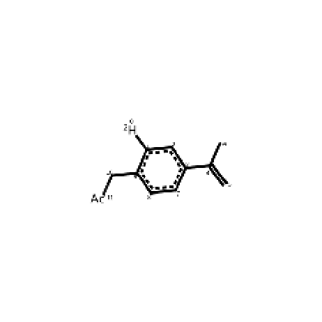 [2H]c1cc(C(=C)C)ccc1CC(C)=O